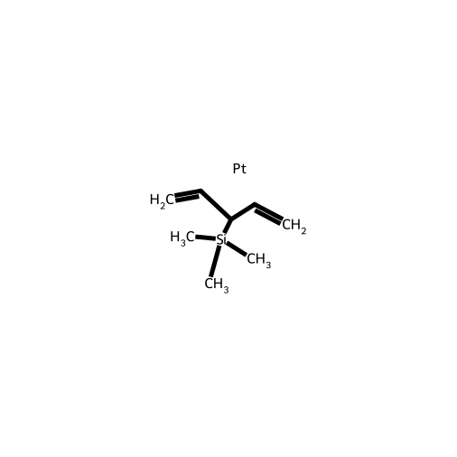 C=CC(C=C)[Si](C)(C)C.[Pt]